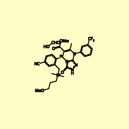 COCCC[N+](C)(C)Cc1cc(C#N)ccc1[C@@H]1C(C(=O)OC)=C(C)N(c2cccc(C(F)(F)F)c2)c2n[nH]c(=O)n21.O=CO